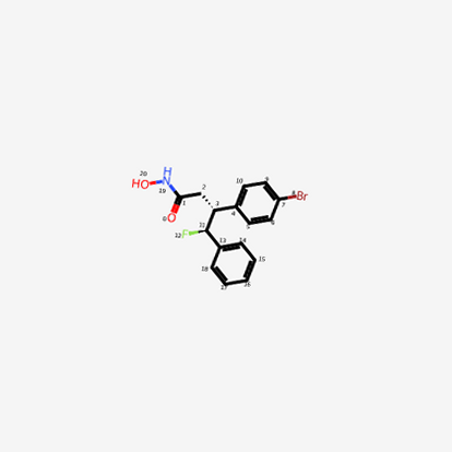 O=C(C[C@H](c1ccc(Br)cc1)[C@H](F)c1ccccc1)NO